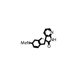 CNC1C=CC2=C(C1)C[C@@]1(C2)C(=O)Nc2ncccc21